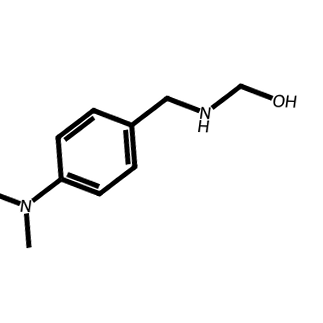 CN(C)c1ccc(CNCO)cc1